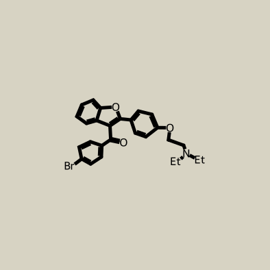 CCN(CC)CCOc1ccc(-c2oc3ccccc3c2C(=O)c2ccc(Br)cc2)cc1